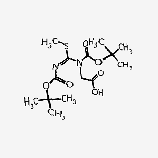 CSC(=NC(=O)OC(C)(C)C)N(CC(=O)O)C(=O)OC(C)(C)C